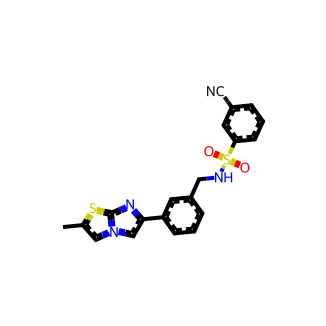 Cc1cn2cc(-c3cccc(CNS(=O)(=O)c4cccc(C#N)c4)c3)nc2s1